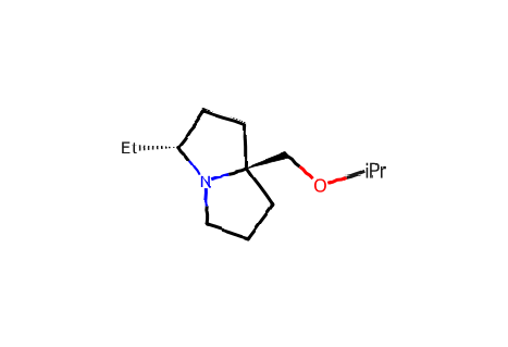 CC[C@@H]1CC[C@]2(COC(C)C)CCCN12